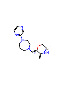 C=C1N[C@@H](C)CO/C1=C\N1CCCN(c2cnccn2)CC1